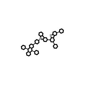 c1ccc(-c2ccc3sc4c(-c5ccc6c(c5)c5ccccc5n6-c5ccc(-c6ccc7c(-c8ccccc8)c8ccccc8c(-c8ccccc8)c7c6)cc5)cc(-c5ccccc5)cc4c3c2)cc1